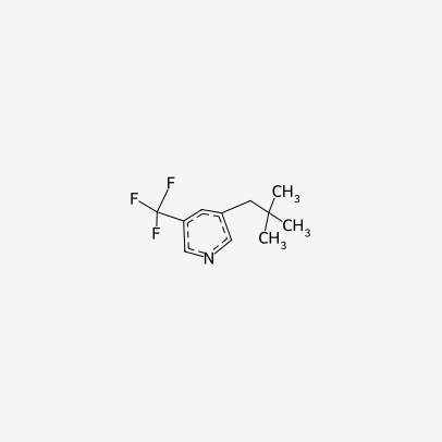 CC(C)(C)Cc1cncc(C(F)(F)F)c1